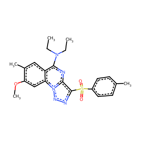 CCN(CC)c1nc2c(S(=O)(=O)c3ccc(C)cc3)nnn2c2cc(OC)c(C)cc12